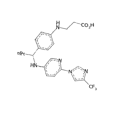 CCCC(Nc1ccc(-n2cnc(C(F)(F)F)c2)nc1)c1ccc(NCCC(=O)O)cc1